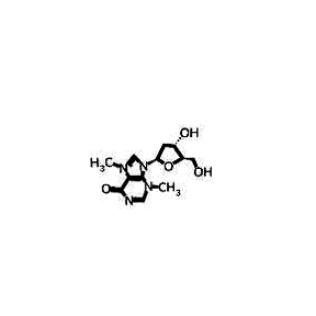 Cn1cnc(=O)c2c1n([C@H]1C[C@H](O)[C@@H](CO)O1)c[n+]2C